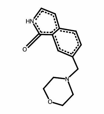 O=c1[nH]ccc2ccc(CN3CCOCC3)cc12